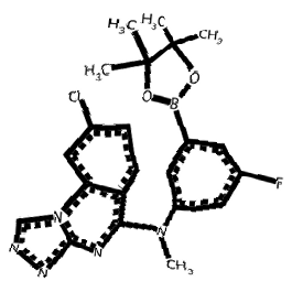 CN(c1cc(F)cc(B2OC(C)(C)C(C)(C)O2)c1)c1nc2nncn2c2cc(Cl)ccc12